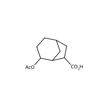 CC(=O)OC1CCC2CC(C(=O)O)C1C2